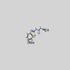 C#CCNCc1nc2ccc(OC)cc2s1